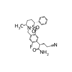 C[C@H]1CC[C@H](c2ccccc2)S(=O)(=O)N1Cc1cc(F)c([C@@H](CCC#N)C(N)=O)cc1F